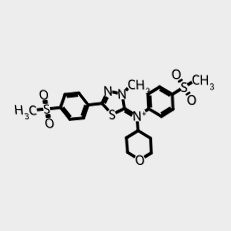 Cn1nc(-c2ccc(S(C)(=O)=O)cc2)sc1=[N+](c1ccc(S(C)(=O)=O)cc1)C1CCOCC1